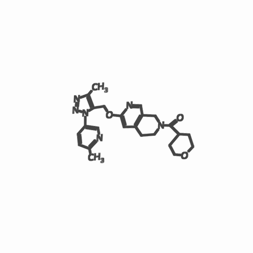 Cc1ccc(-n2nnc(C)c2COc2cc3c(cn2)CN(C(=O)C2CCOCC2)CC3)cn1